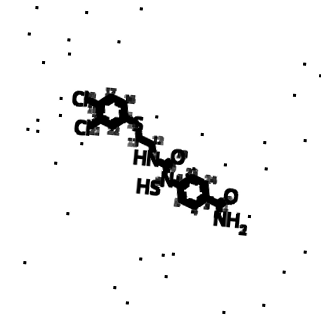 NC(=O)c1ccc(N(S)C(=O)NCCSc2ccc(Cl)c(Cl)c2)cc1